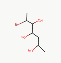 CC(O)CC(O)C(O)C(C)Br